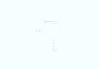 CNC1CC(C)=NN1